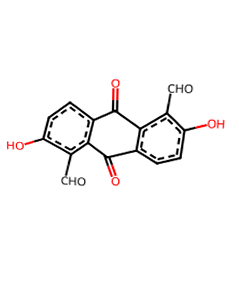 O=Cc1c(O)ccc2c1C(=O)c1ccc(O)c(C=O)c1C2=O